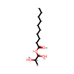 CCCCCCCCCC(=O)OC(O)C(C)O